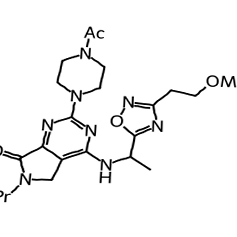 COCCc1noc(C(C)Nc2nc(N3CCN(C(C)=O)CC3)nc3c2CN(C(C)C)C3=O)n1